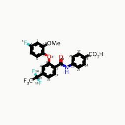 COc1cc(F)ccc1Oc1cc(C(F)(F)C(F)(F)F)ccc1C(=O)Nc1ccc(C(=O)O)cc1